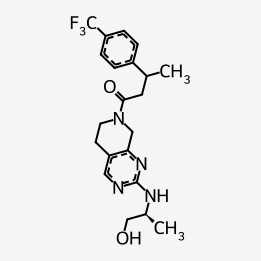 CC(CC(=O)N1CCc2cnc(N[C@@H](C)CO)nc2C1)c1ccc(C(F)(F)F)cc1